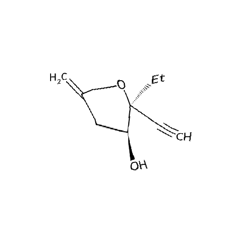 C#C[C@]1(CC)OC(=C)C[C@@H]1O